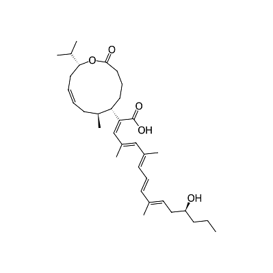 CCC[C@H](O)CC=C(C)C=CC=C(C)C=C(C)C=C(C(=O)O)[C@H]1CCCC(=O)O[C@@H](C(C)C)CC=CC[C@@H]1C